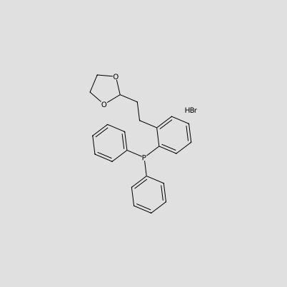 Br.c1ccc(P(c2ccccc2)c2ccccc2CCC2OCCO2)cc1